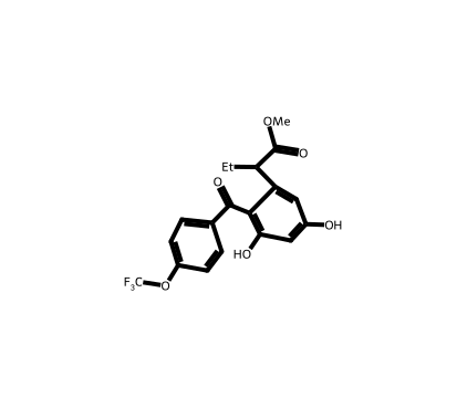 CCC(C(=O)OC)c1cc(O)cc(O)c1C(=O)c1ccc(OC(F)(F)F)cc1